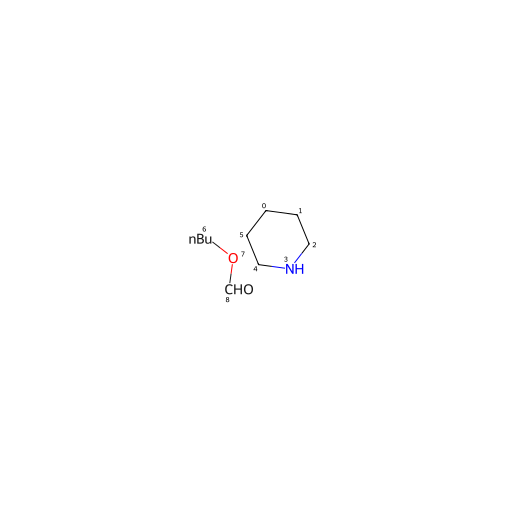 C1CCNCC1.CCCCOC=O